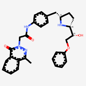 Cc1nn(CC(=O)Nc2ccc(C[C@@H]3CC[C@H]([C@H](O)COc4ccccc4)N3)cc2)c(=O)c2ccccc12